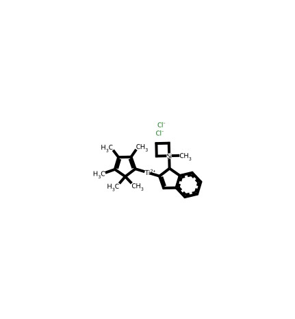 CC1=C(C)C(C)(C)[C]([Ti+2][C]2=Cc3ccccc3C2[Si]2(C)CCC2)=C1C.[Cl-].[Cl-]